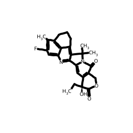 CC[C@@]1(O)C(=O)OCc2c1cc1n(c2=O)C(C)(C)c2c-1nc1cc(F)c(C)c3c1c2CCC3